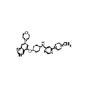 CN1CCN(c2cc(NC3CCC(Oc4cc(N5CCOCC5)cc5ncncc45)CC3)ncn2)CC1